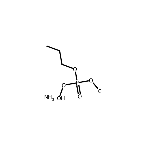 CCCOP(=O)(OO)OCl.N